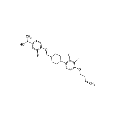 C=CCCOc1ccc(C2CCC(COc3ccc(C(C)O)cc3F)CC2)c(F)c1F